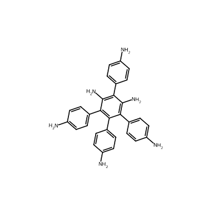 Nc1ccc(-c2c(N)c(-c3ccc(N)cc3)c(-c3ccc(N)cc3)c(-c3ccc(N)cc3)c2N)cc1